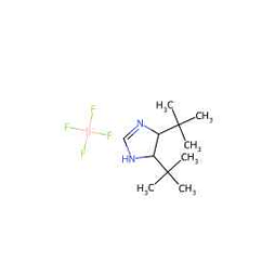 CC(C)(C)C1N=CNC1C(C)(C)C.F[B-](F)(F)F